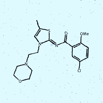 COc1ccc(Cl)cc1C(=O)/N=c1\sc(C)cn1CCN1CCOCC1